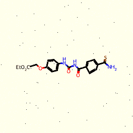 CCOC(=O)COc1ccc(NC(=O)NC(=O)c2ccc(C(N)=S)cc2)cc1